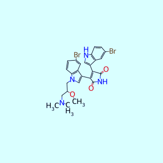 COC(CN(C)C)Cn1cc(C2=C(c3c[nH]c4ccc(Br)cc34)C(=O)NC2=O)c2cc(Br)ccc21